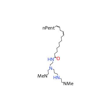 CCCCC/C=C\C/C=C\CCCCCCCC(=O)NCCN(CCCNCCNC)CCNC